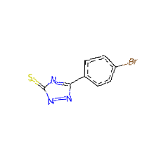 S=C1N=NC(c2ccc(Br)cc2)=N1